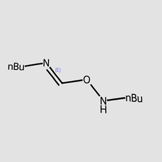 CCCC/N=C/ONCCCC